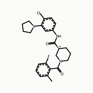 Cc1cccc(F)c1C(=O)N1CCC[C@H](C(=O)Nc2ccc(Cl)c(N3CCCC3)c2)C1